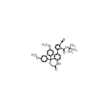 COc1ccc(C2(c3ccc(OC)cc3)OCC(=O)Nc3ccc(-c4ccc(C#N)n4C(=O)OC(C)(C)C)cc32)cc1